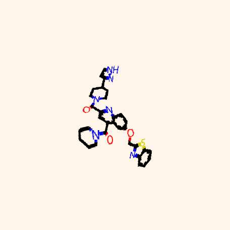 O=C(c1cc(C(=O)N2CCCCC2)c2cc(OCc3nc4ccccc4s3)ccc2n1)N1CCC(c2cc[nH]n2)CC1